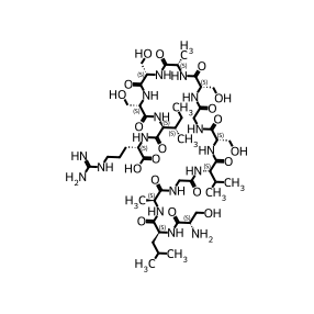 CC[C@H](C)[C@H](NC(=O)[C@H](CO)NC(=O)[C@H](CO)NC(=O)[C@H](C)NC(=O)[C@H](CO)NC(=O)CNC(=O)[C@H](CO)NC(=O)[C@@H](NC(=O)CNC(=O)[C@H](C)NC(=O)[C@H](CC(C)C)NC(=O)[C@@H](N)CO)C(C)C)C(=O)N[C@@H](CCCNC(=N)N)C(=O)O